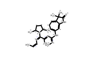 C\C=C/N=C(\C(C)=N\C(=N/C)NC1=CCC=C2C(=C1)NC(=O)C2(C)C)N1C(C)CCC1C